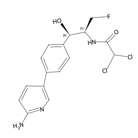 Nc1ccc(-c2ccc([C@@H](O)[C@@H](CF)NC(=O)C(Cl)Cl)cc2)cn1